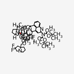 C#Cc1cccc2nc(N(C(=O)OC(C)(C)C)C(=O)OC(C)(C)C)cc(-c3nc4c5c(nc(OCC67CCCN6CC(F)(F)C7)nc5c3F)N3C[C@H]5CC[C@@H]([C@H]3[C@H](C)O4)N5C(=O)OC(C)(C)C)c12